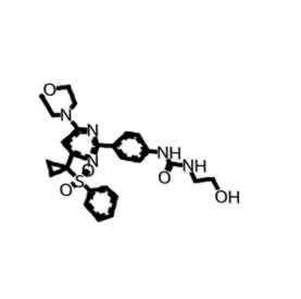 O=C(NCCO)Nc1ccc(-c2nc(N3CCOCC3)cc(C3(S(=O)(=O)c4ccccc4)CC3)n2)cc1